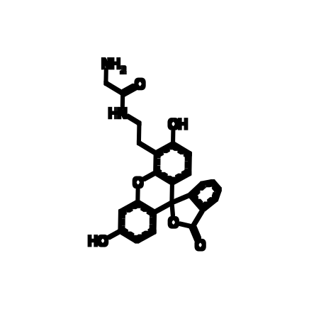 NCC(=O)NCCc1c(O)ccc2c1Oc1cc(O)ccc1C21OC(=O)c2ccccc21